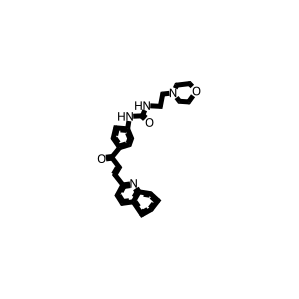 O=C(NCCN1CCOCC1)Nc1ccc(C(=O)C=Cc2ccc3ccccc3n2)cc1